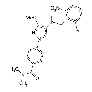 COc1nn(-c2ccc(C(=O)N(C)C)cc2)cc1NCc1c(Br)cccc1[N+](=O)[O-]